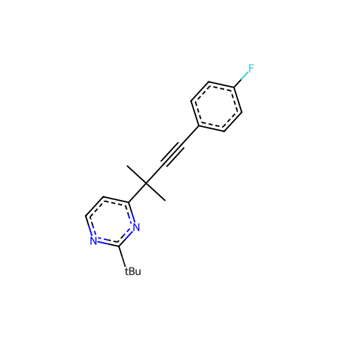 CC(C)(C)c1nccc(C(C)(C)C#Cc2ccc(F)cc2)n1